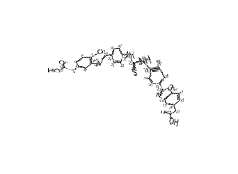 O=C(O)Cc1ccc2oc(-c3ccc(NC(=S)Nc4ccc(-c5nc6cc(CC(=O)O)ccc6o5)cc4)cc3)nc2c1